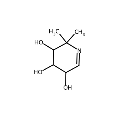 CC1(C)N=CC(O)C(O)C1O